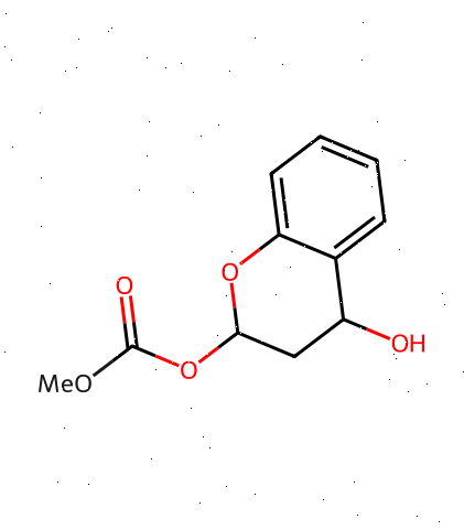 COC(=O)OC1CC(O)c2ccccc2O1